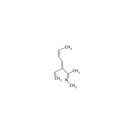 C=CC(=C\C=C/C)/C(C)=N/C